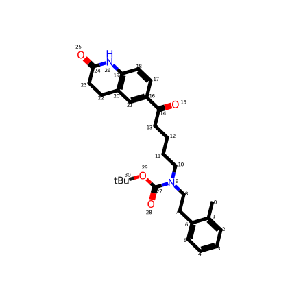 Cc1ccccc1CCN(CCCCC(=O)c1ccc2c(c1)CCC(=O)N2)C(=O)OC(C)(C)C